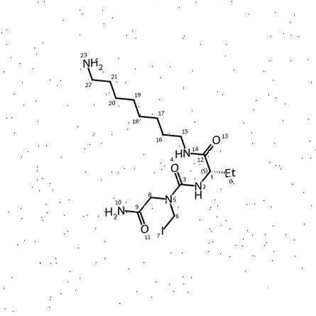 CC[C@H](NC(=O)N(CI)CC(N)=O)C(=O)NCCCCCCCCN